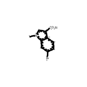 CCOC(=O)c1cn(C)c2cc(Br)ccc12